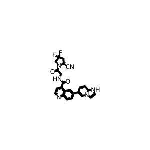 N#C[C@@H]1CC(F)(F)CN1C(=O)CNC(=O)c1ccnc2ccc(C3=CN4C=CNC4C=C3)cc12